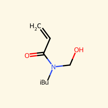 C=CC(=O)N(CO)C(C)CC